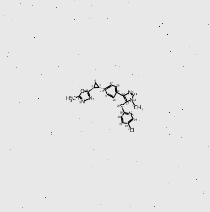 Cc1nnc([C@H]2C[C@@H]2c2ccc(-c3ncn(C)c3Sc3ccc(Cl)cn3)cc2)o1